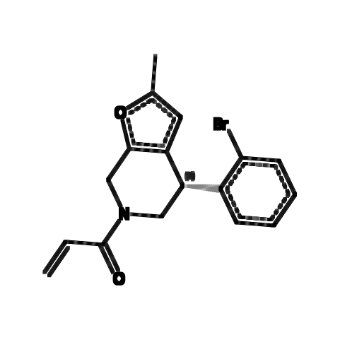 C=CC(=O)N1Cc2oc(C)cc2[C@H](c2ccccc2Br)C1